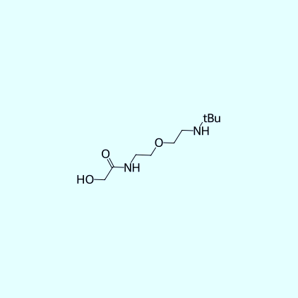 CC(C)(C)NCCOCCNC(=O)CO